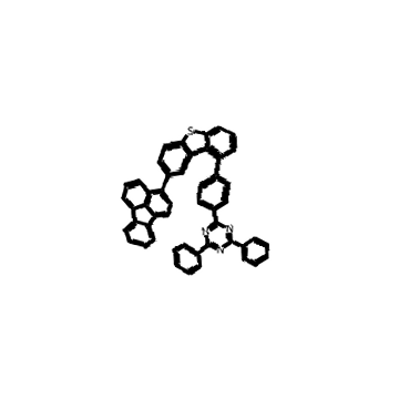 c1ccc(-c2nc(-c3ccccc3)nc(-c3ccc(-c4cccc5sc6ccc(-c7ccc8c9c(cccc79)-c7ccccc7-8)cc6c45)cc3)n2)cc1